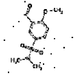 COc1ccc(S(=O)(=O)N(C)C)cc1[C]=O